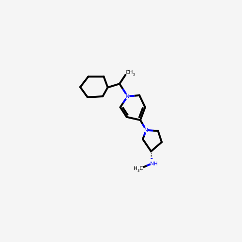 CN[C@H]1CCN(C2=CCN(C(C)C3CCCCC3)C=C2)C1